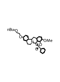 CCCCOCCOc1ccc2c(c1)CCN1Cc3c(ccc(OC)c3OS(=O)(=O)c3ccccc3)CC21